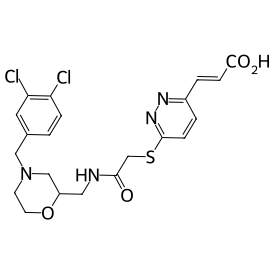 O=C(O)C=Cc1ccc(SCC(=O)NCC2CN(Cc3ccc(Cl)c(Cl)c3)CCO2)nn1